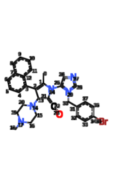 CC1=C(c2cccc3ccccc23)C(N2CCN(C)CC2)C(=C=O)N1c1cncn1Cc1ccc(Br)cc1